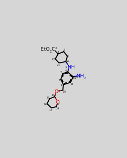 CCOC(=O)C1CCC(Nc2ccc(COC3CCCCO3)cc2N)CC1